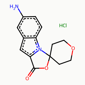 Cl.Nc1ccc2c(c1)cc1n2C2(CCOCC2)OC1=O